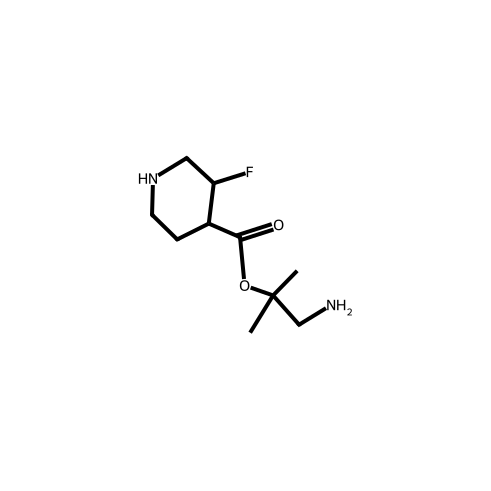 CC(C)(CN)OC(=O)C1CCNCC1F